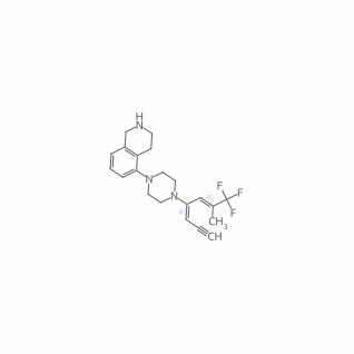 C#C/C=C(\C=C(/C)C(F)(F)F)N1CCN(c2cccc3c2CCNC3)CC1